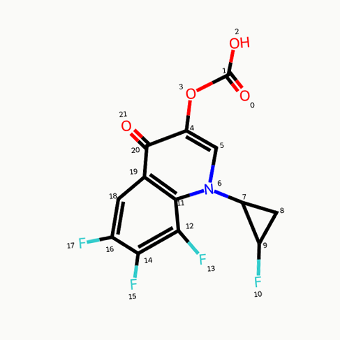 O=C(O)Oc1cn(C2CC2F)c2c(F)c(F)c(F)cc2c1=O